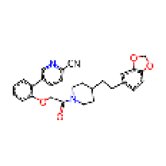 N#Cc1ccc(-c2ccccc2OCC(=O)N2CCC(CCc3ccc4c(c3)OCO4)CC2)cn1